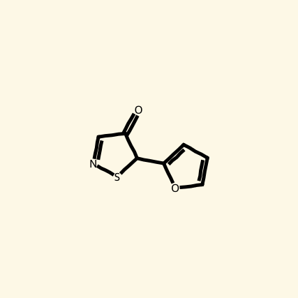 O=C1C=NSC1c1ccco1